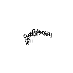 CC1(N)CCN(c2cnc(-c3cccc(N4CCN(Cc5ccccc5C5CCC(=O)NC5=O)CC4)c3Cl)c(N)n2)CC1